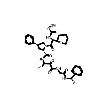 CCCC(NC(=O)[C@@H]1C[C@@H](c2ccccc2)CN1C(=O)[C@@H](NC(=O)OC(C)(C)C)C1CCCCC1)C(=O)C(=O)NCC(=O)N[C@H](C(C)=O)c1ccccc1